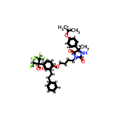 CC(C)Oc1ccc(C2(C)NC(=O)N(CCCCOc3ccc(C(O)(C(F)F)C(F)(F)F)cc3CCc3ccccc3)C2=O)cc1